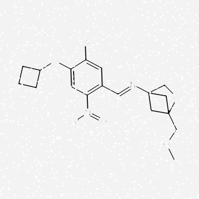 COCC12CC(/N=C/c3cc(Br)c(OC4CCC4)cc3[N+](=O)[O-])(CO1)C2